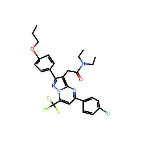 CCCOc1ccc(-c2nn3c(C(F)(F)F)cc(-c4ccc(Cl)cc4)nc3c2CC(=O)N(CC)CC)cc1